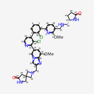 COc1nc(-c2cccc(-c3ccnc(-c4cc(OC)c5nc(CN6CC7(CNC(=O)C7)C6)cn5c4)c3Cl)c2Cl)ccc1CNC[C@@H]1CCC(=O)N1